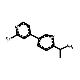 CC(N)c1ccc(-c2ccnc(C(F)(F)F)c2)cn1